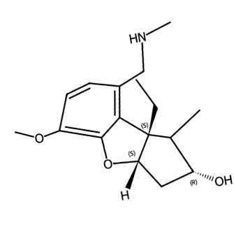 CC[C@]12c3c(CNC)ccc(OC)c3O[C@H]1C[C@@H](O)C2C